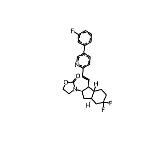 O=C1OCCN1[C@@H]1C[C@@H]2CC(F)(F)CC[C@H]2[C@@H]1/C=C/c1ccc(-c2cccc(F)c2)cn1